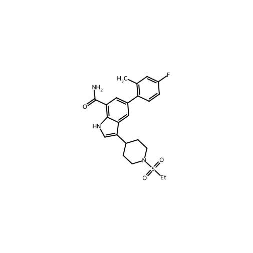 CCS(=O)(=O)N1CCC(c2c[nH]c3c(C(N)=O)cc(-c4ccc(F)cc4C)cc23)CC1